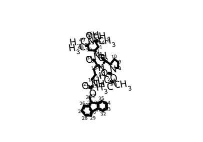 CC(C)(C)OC(=O)N1CCCC1C(=O)N[C@@H](CCCNC(=O)OCC1c2ccccc2-c2ccccc21)C(=O)NC1CC(C)(C)N(O)C(C)(C)C1